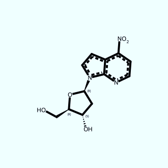 O=[N+]([O-])c1ccnc2c1ccn2[C@H]1C[C@H](O)[C@@H](CO)O1